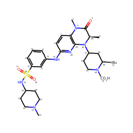 C[C@@H]1C(=O)N(C)c2ccc(Nc3cccc(S(=O)(=O)NC4CCN(C)CC4)c3)nc2N1C1CCN(C(=O)O)C(C(C)(C)C)C1